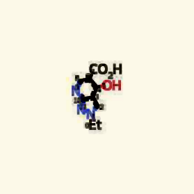 CCn1cc2c(O)c(C(=O)O)cnc2n1